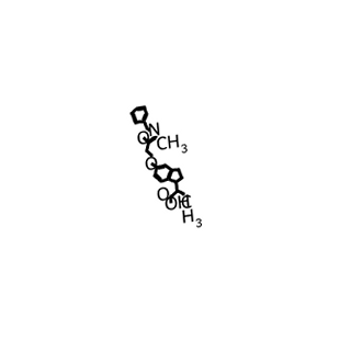 CCC(C(=O)O)C1CCc2cc(OCCc3oc(-c4ccccc4)nc3C)ccc21